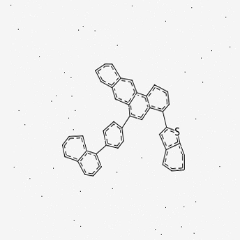 c1ccc2cc3c(cc2c1)c(-c1ccc(-c2cccc4ccccc24)cc1)cc1c(-c2cc4ccccc4s2)cccc13